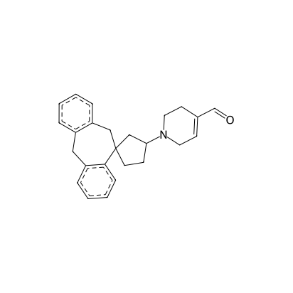 O=CC1=CCN(C2CCC3(Cc4ccccc4Cc4ccccc43)C2)CC1